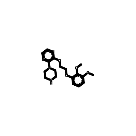 COc1cccc(OCCOc2nccnc2N2CCNCC2)c1OC